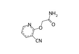 N#Cc1cccnc1OCC(N)=O